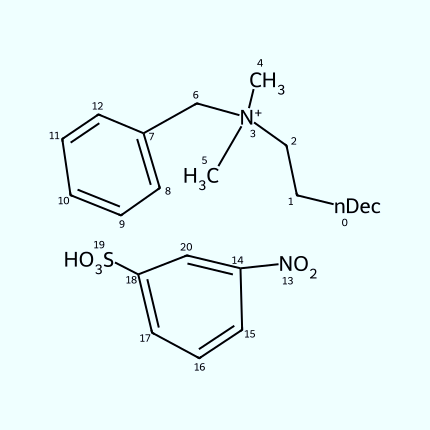 CCCCCCCCCCCC[N+](C)(C)Cc1ccccc1.O=[N+]([O-])c1cccc(S(=O)(=O)O)c1